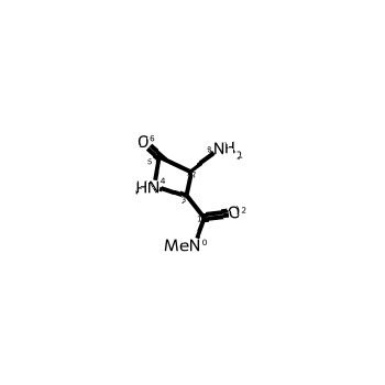 CNC(=O)C1NC(=O)C1N